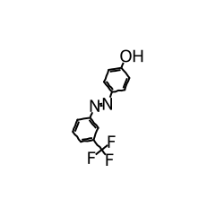 Oc1ccc(N=Nc2cccc(C(F)(F)F)c2)cc1